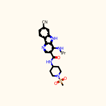 CC(C)Nc1c(C(=O)NC2CCN(S(C)(=O)=O)CC2)cnc2c1[nH]c1cc(C#N)ccc12